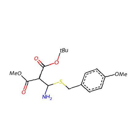 COC(=O)C(C(=O)OC(C)(C)C)C(N)SCc1ccc(OC)cc1